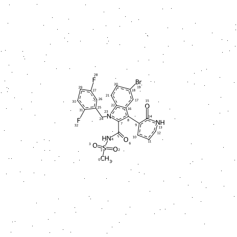 CS(=O)(=O)NC(=O)c1c(-c2ccc[nH]c2=O)c2cc(Br)ccc2n1Cc1cc(F)ccc1F